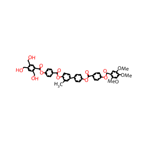 COc1cc(OC)c(C(=O)Oc2ccc(C(=O)Oc3ccc(-c4ccc(OC(=O)c5ccc(OC(=O)c6cc(CO)c(CO)cc6CO)cc5)c(C)c4)cc3)cc2)cc1OC